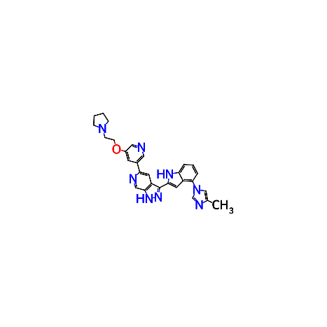 Cc1cn(-c2cccc3[nH]c(-c4n[nH]c5cnc(-c6cncc(OCCN7CCCC7)c6)cc45)cc23)cn1